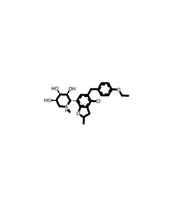 CCOc1ccc(Cc2cc([C@H]3[C@H](O)[C@H](O)[C@H](O)C[SH]3C)c3c(c2Cl)CC(C)O3)cc1